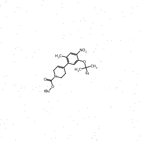 [2H]C(C)(C)Oc1cc(C2=CCN(C(=O)OC(C)(C)C)CC2)c(C)cc1[N+](=O)[O-]